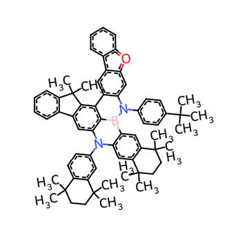 CC(C)(C)c1ccc(N2B3c4cc5c(cc4N(c4ccc6c(c4)C(C)(C)CCC6(C)C)c4cc6c(c(c43)-c3cc4c(cc32)oc2ccccc24)C(C)(C)c2ccccc2-6)C(C)(C)CCC5(C)C)cc1